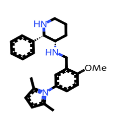 COc1ccc(-n2c(C)ccc2C)cc1CN[C@H]1CCCN[C@H]1c1ccccc1